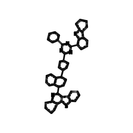 c1ccc(-c2nc(-c3ccc(-c4ccc(-c5nc6ccccc6c6sc7ccccc7c56)c5ccccc45)cc3)nc(-c3cccc4c3sc3ccccc34)n2)cc1